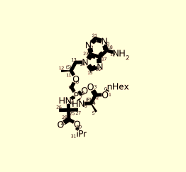 CCCCCCOC(=O)[C@@H](C)NP(=O)(CO[C@@H](C)Cn1cnc2c(N)ncnc21)NC(C)(C)C(=O)OC(C)C